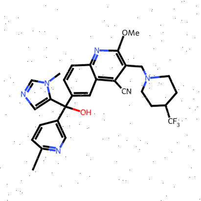 COc1nc2ccc(C(O)(c3ccc(C)nc3)c3cncn3C)cc2c(C#N)c1CN1CCC(C(F)(F)F)CC1